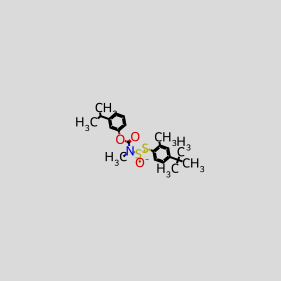 Cc1cc(C(C)(C)C)ccc1S[S+]([O-])N(C)C(=O)Oc1cccc(C(C)C)c1